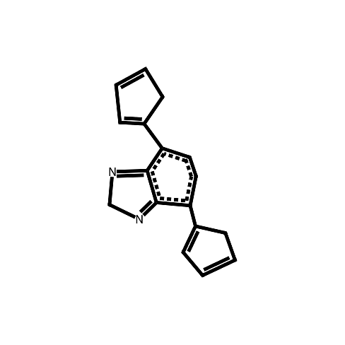 C1=CCC(c2ccc(C3=CC=CC3)c3c2=NCN=3)=C1